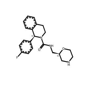 O=C(NC[C@@H]1CNCCO1)N1CCc2ccccc2[C@@H]1c1ccc(F)cc1